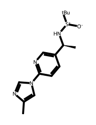 Cc1cn(-c2ccc([C@H](C)N[S+]([O-])C(C)(C)C)cn2)cn1